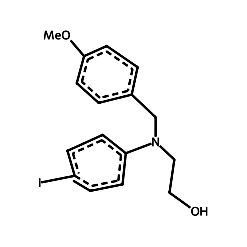 COc1ccc(CN(CCO)c2ccc(I)cc2)cc1